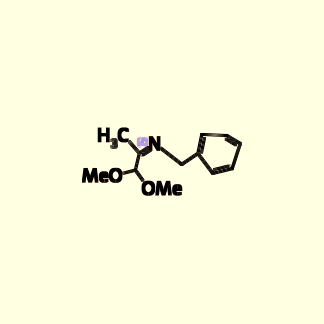 COC(OC)/C(C)=N\Cc1ccccc1